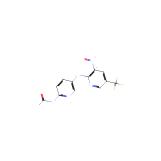 CC(=O)Nc1ccc(Nc2ncc(C(F)(F)F)cc2[N+](=O)[O-])cn1